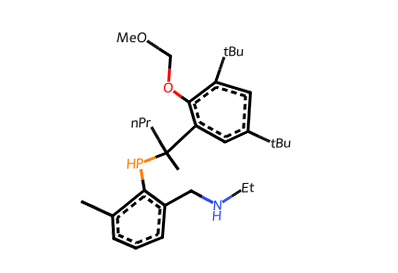 CCCC(C)(Pc1c(C)cccc1CNCC)c1cc(C(C)(C)C)cc(C(C)(C)C)c1OCOC